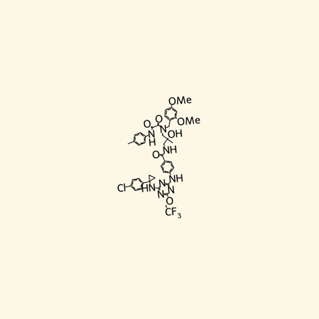 COc1ccc(CN(CC(C)(O)CNC(=O)c2ccc(Nc3nc(NC4(c5ccc(Cl)cc5)CC4)nc(OCC(F)(F)F)n3)cc2)C(=O)C(=O)Nc2ccc(C)cc2)c(OC)c1